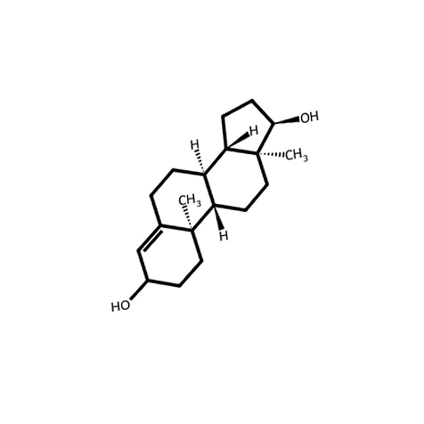 C[C@]12CC[C@H]3[C@@H](CCC4=CC(O)CC[C@@]43C)[C@@H]1CC[C@H]2O